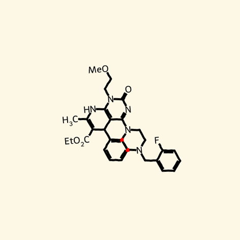 CCOC(=O)C1=C(C)Nc2c(c(N3CCN(Cc4ccccc4F)CC3)nc(=O)n2CCOC)C1c1ccccc1